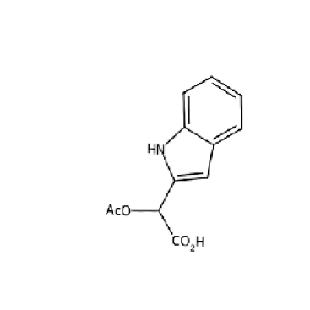 CC(=O)OC(C(=O)O)c1cc2ccccc2[nH]1